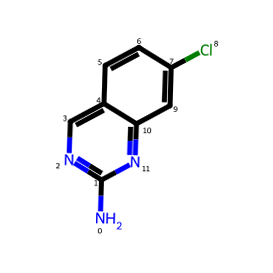 Nc1ncc2ccc(Cl)cc2n1